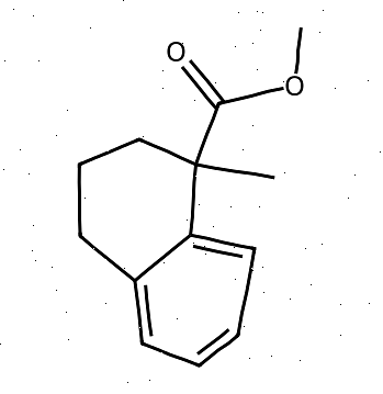 COC(=O)C1(C)CCCc2ccccc21